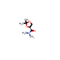 CN(C)C(=O)[C@@H]1COC(C)(C)O1